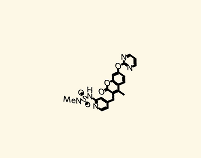 CNS(=O)(=O)Nc1cc(Cc2c(C)c3ccc(Oc4ncccn4)cc3oc2=O)ccn1